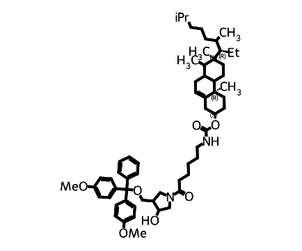 CC[C@H](C(C)CCCC(C)C)[C@@]1(C)CCC2C(CC=C3C[C@@H](OC(=O)NCCCCCC(=O)N4CC(O)C(COC(c5ccccc5)(c5ccc(OC)cc5)c5ccc(OC)cc5)C4)CC[C@@]32C)C1C